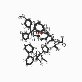 CCC(O[Si](c1ccccc1)(c1ccccc1)C(C)(C)C)[C@@H]1C[C@@H](C(C)OC(C)=O)[C@H](n2c(=O)sc3c(=O)[nH]c(NC(c4ccccc4)(c4ccccc4)c4ccc(OC)cc4)nc32)O1